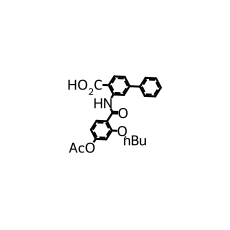 CCCCOc1cc(OC(C)=O)ccc1C(=O)Nc1cc(-c2ccccc2)ccc1C(=O)O